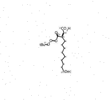 CCCCCCCCCCCCCCCCCCC(=CC(=O)O)C(=O)OOOC(C)(C)C